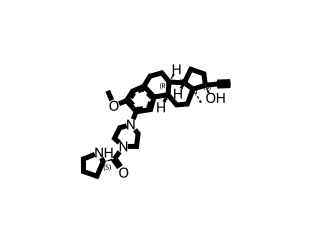 C#C[C@]1(O)CC[C@H]2[C@@H]3CCc4cc(OC)c(N5CCN(C(=O)[C@@H]6CCCN6)CC5)cc4[C@H]3CC[C@@]21C